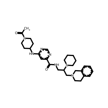 CC(=O)N1CCC(Nc2cc(C(=O)NCC(CN3CCc4ccccc4C3)N3CCCCC3)ncn2)CC1